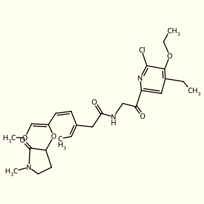 C\C=C(/C=C\C(=C\OC)OC1CCN(C)C1=O)CC(=O)NCC(=O)c1cc(CC)c(OCC)c(Cl)n1